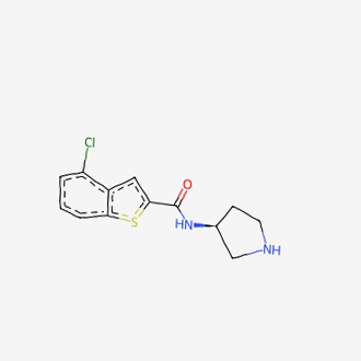 O=C(N[C@H]1CCNC1)c1cc2c(Cl)cccc2s1